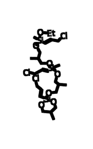 CCO[Si](C)(C=CCCl)OCC(C)CO[Si](C)(C=CCCl)OCC(C)CO[Si]1(C=CCCl)OCC(C)CO1